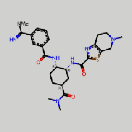 CNC(=N)c1cccc(C(=O)N[C@H]2CC[C@H](C(=O)N(C)C)C[C@H]2NC(=O)c2nc3c(s2)CN(C)CC3)c1